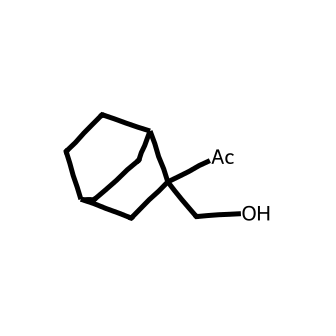 CC(=O)C1(CO)CC2CCC1CC2